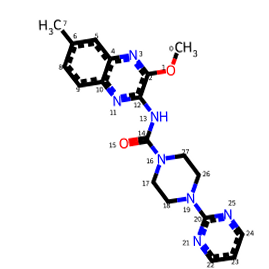 COc1nc2cc(C)ccc2nc1NC(=O)N1CCN(c2ncccn2)CC1